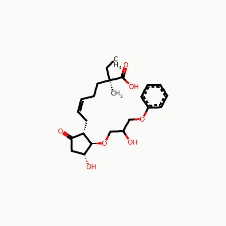 CC[C@](C)(CC/C=C\C[C@H]1C(=O)C[C@@H](O)[C@@H]1OCC(O)COc1ccccc1)C(=O)O